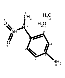 Bc1ccc(N(C)[SH](=O)=O)cc1.O.O